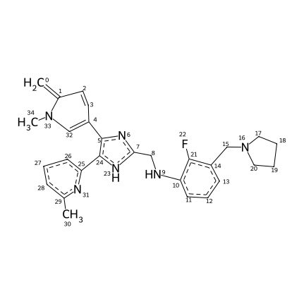 C=C1C=CC(c2nc(CNc3cccc(CN4CCCC4)c3F)[nH]c2-c2cccc(C)n2)=CN1C